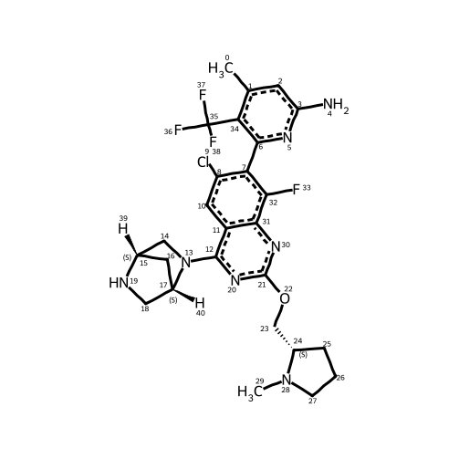 Cc1cc(N)nc(-c2c(Cl)cc3c(N4C[C@@H]5C[C@H]4CN5)nc(OC[C@@H]4CCCN4C)nc3c2F)c1C(F)(F)F